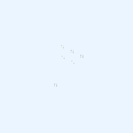 C=C1/C=C\C=C/CN(c2ccc(-c3nc(-n4c5ccccc5c5ccccc54)nc(-n4c5ccccc5c5ccccc54)n3)cc2)c2ccccc21